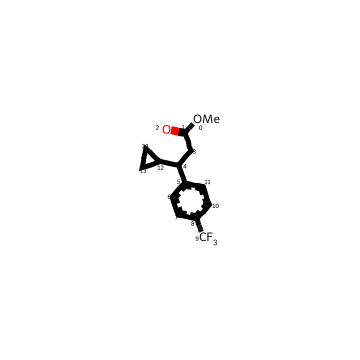 COC(=O)CC(c1ccc(C(F)(F)F)cc1)C1CC1